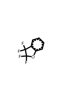 FC1(F)Oc2cc[c]cc2C1(F)F